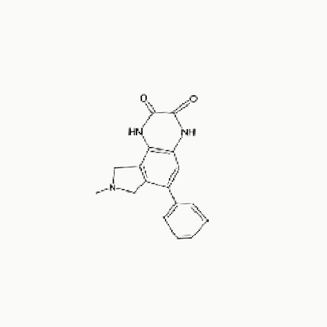 CN1Cc2c(-c3ccccc3)cc3[nH]c(=O)c(=O)[nH]c3c2C1